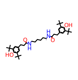 CC(C)(C)c1cc(CCC(=O)N[CH]CCCCCNC(=O)CCc2cc(C(C)(C)C)c(O)c(C(C)(C)C)c2)cc(C(C)(C)C)c1O